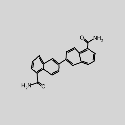 NC(=O)c1cccc2cc(-c3ccc4c(C(N)=O)cccc4c3)ccc12